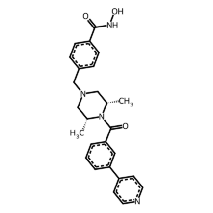 C[C@@H]1CN(Cc2ccc(C(=O)NO)cc2)C[C@H](C)N1C(=O)c1cccc(-c2ccncc2)c1